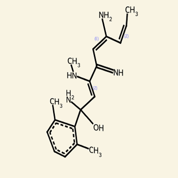 C/C=C\C(N)=C/C(=N)/C(=C/C(N)(O)c1c(C)cccc1C)NC